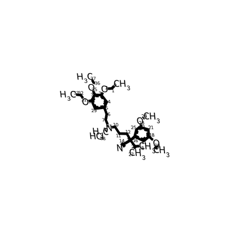 CCOc1cc(CCN(C)CCCC(C#N)(c2cc(OC)cc(OC)c2)C(C)C)cc(OCC)c1OCC.Cl